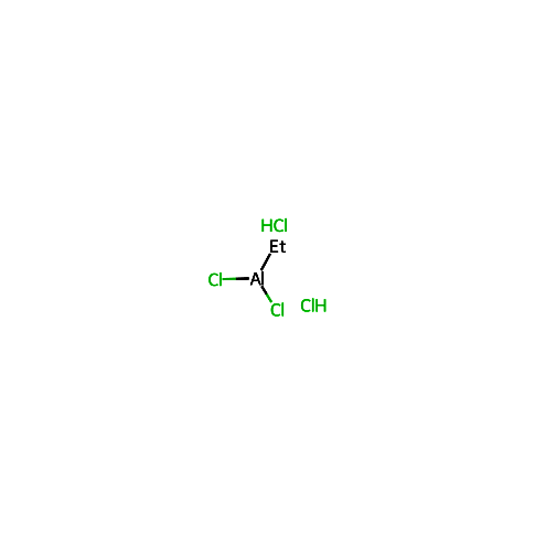 C[CH2][Al]([Cl])[Cl].Cl.Cl